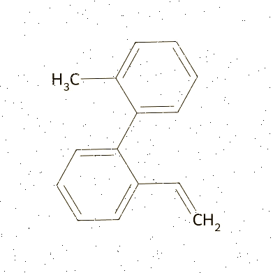 C=Cc1ccccc1-c1ccccc1C